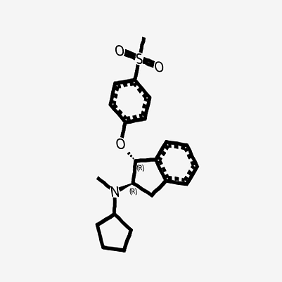 CN(C1CCCC1)[C@@H]1Cc2ccccc2[C@H]1Oc1ccc(S(C)(=O)=O)cc1